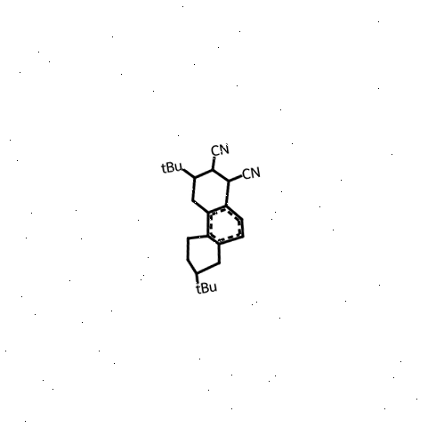 CC(C)(C)C1CCc2c(ccc3c2CC(C(C)(C)C)C(C#N)C3C#N)C1